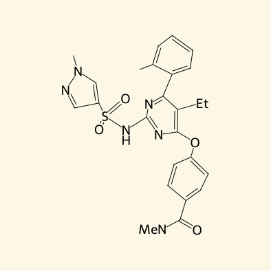 CCc1c(Oc2ccc(C(=O)NC)cc2)nc(NS(=O)(=O)c2cnn(C)c2)nc1-c1ccccc1C